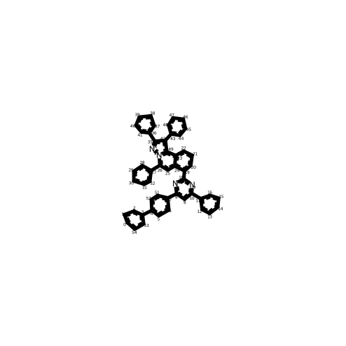 c1ccc(-c2ccc(-c3cc(-c4ccccc4)nc(-c4cccc5c4cc(-c4ccccc4)n4nc(-c6ccccc6)c(-c6ccccc6)c54)n3)cc2)cc1